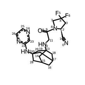 N#C[C@@H]1CC(F)(F)CN1C(=O)CNC12CC3CC(C1)CC(Nc1cnccn1)(C3)C2